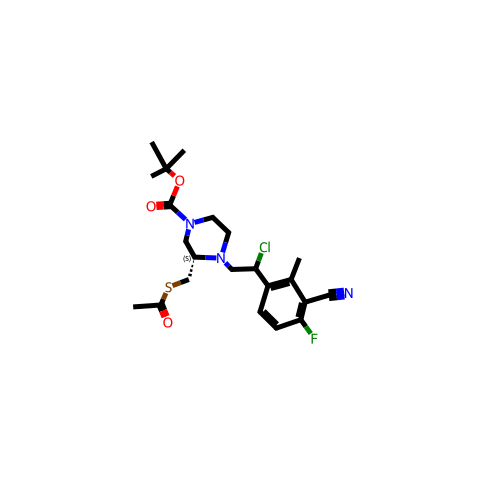 CC(=O)SC[C@@H]1CN(C(=O)OC(C)(C)C)CCN1CC(Cl)c1ccc(F)c(C#N)c1C